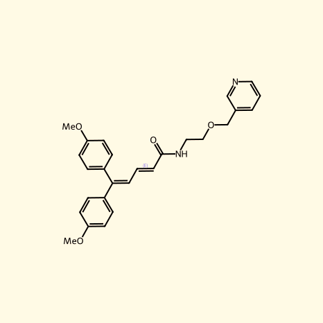 COc1ccc(C(=C/C=C/C(=O)NCCOCc2cccnc2)c2ccc(OC)cc2)cc1